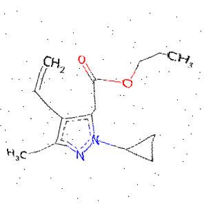 C=Cc1c(C)nn(C2CC2)c1C(=O)OCC